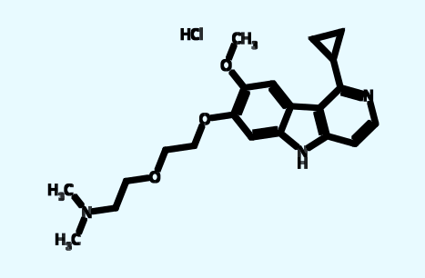 COc1cc2c(cc1OCCOCCN(C)C)[nH]c1ccnc(C3CC3)c12.Cl